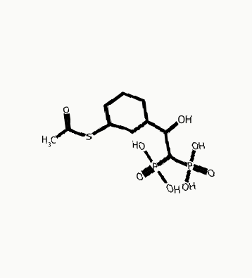 CC(=O)SC1CCCC(C(O)C(P(=O)(O)O)P(=O)(O)O)C1